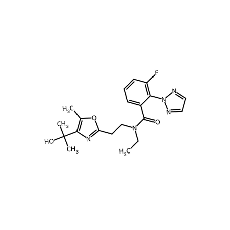 CCN(CCc1nc(C(C)(C)O)c(C)o1)C(=O)c1cccc(F)c1-n1nccn1